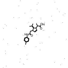 CC(C)=C1C(CC(=O)Nc2ccc(C)cc2)C=CC1C(C)C(=O)O